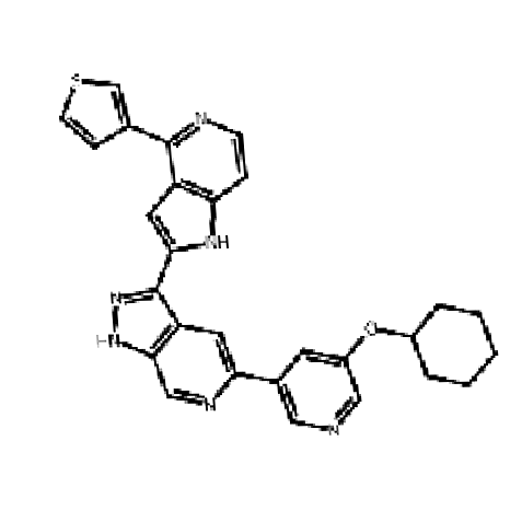 c1cc2[nH]c(-c3n[nH]c4cnc(-c5cncc(OC6CCCCC6)c5)cc34)cc2c(-c2ccsc2)n1